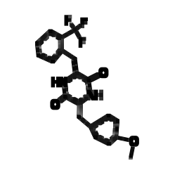 COc1ccc(C=c2[nH]c(=O)c(=Cc3ccccc3C(F)(F)F)[nH]c2=O)cc1